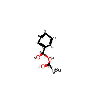 CCCCC(=O)OC(=O)c1cc[c]cc1